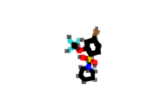 O=S(=O)(c1ccc(Br)cc1OC(F)(F)F)N1CC[CH]CC1